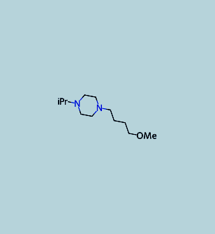 [CH2]OCCCCN1CCN(C(C)C)CC1